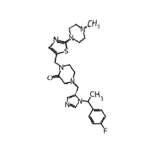 CC(c1ccc(F)cc1)n1cncc1CN1CCN(Cc2cnc(N3CCN(C)CC3)s2)C(=O)C1